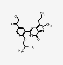 CCCc1c2nc(-c3cc(C(=O)CCl)cnc3OCC(C)C)[nH]c(=O)c2nn1C